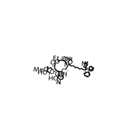 CC[C@H]1OC(=O)[C@H](C)[C@@H](C2C[C@@](C)(OC)[C@@H](O)[C@H](C)O2)[C@H](C)[C@@H](O[C@@H]2O[C@H](C)C[C@H](N(C)C)[C@H]2O)[C@](C)(O)C[C@@H](C)CN(C(=O)CCCCCCC[PH](c2ccccc2)(c2ccccc2)c2cnn(C)c2)[C@H](C)[C@@H](O)[C@]1(C)O